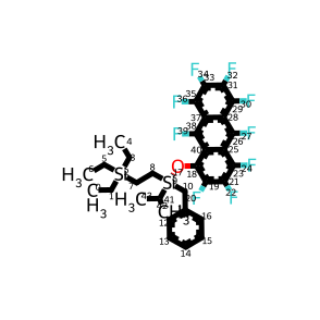 CC[Si](CC)(CC)CC[Si](Cc1ccccc1)(Oc1c(F)c(F)c(F)c2c(F)c3c(F)c(F)c(F)c(F)c3c(F)c12)C(C)C